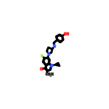 O=C(O)c1cn(C2CC2)c2cc(N3CCC(/N=C/c4ccc(O)cc4)C3)c(F)cc2c1=O